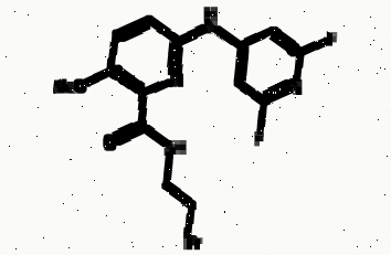 COc1ccc(Nc2cc(F)nc(F)c2)nc1C(=O)NCCC(C)C